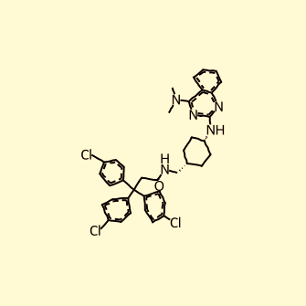 CN(C)c1nc(N[C@H]2CC[C@@H](CNC(=O)CC(c3ccc(Cl)cc3)(c3ccc(Cl)cc3)c3ccc(Cl)cc3)CC2)nc2ccccc12